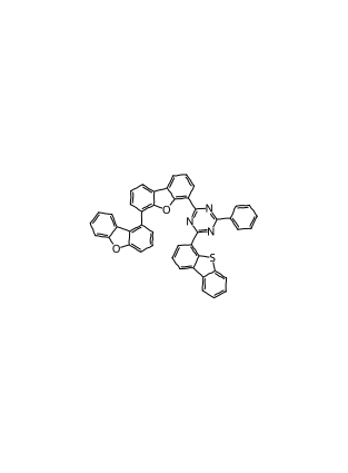 c1ccc(-c2nc(-c3cccc4c3oc3c(-c5cccc6oc7ccccc7c56)cccc34)nc(-c3cccc4c3sc3ccccc34)n2)cc1